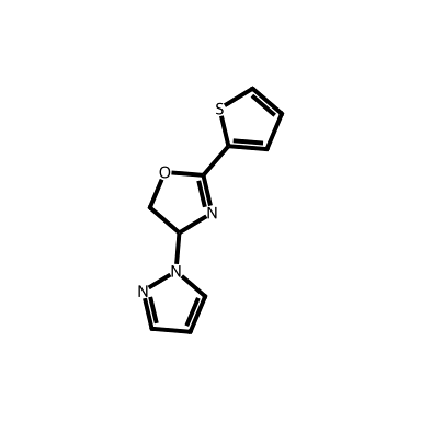 c1csc(C2=NC(n3cccn3)CO2)c1